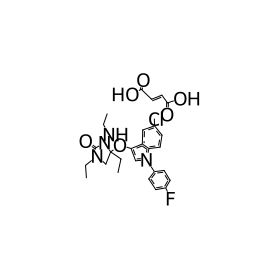 CCNN1C(=O)N(CC)CC1(CC)Oc1cn(-c2ccc(F)cc2)c2ccc(Cl)cc12.O=C(O)C=CC(=O)O